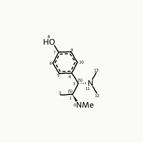 CN[C@@H](C)[C@H](c1ccc(O)cc1)N(C)C